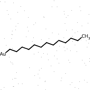 CCCCCCCCCCCC[CH2][Au]